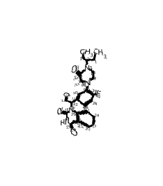 CCC(CC)N1CCN(c2cc(C(C=O)n3c(=O)[nH]c(=O)c4ccccc43)ccc2F)CC1=O